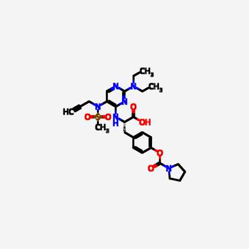 C#CCN(c1cnc(N(CC)CC)nc1N[C@@H](Cc1ccc(OC(=O)N2CCCC2)cc1)C(=O)O)S(C)(=O)=O